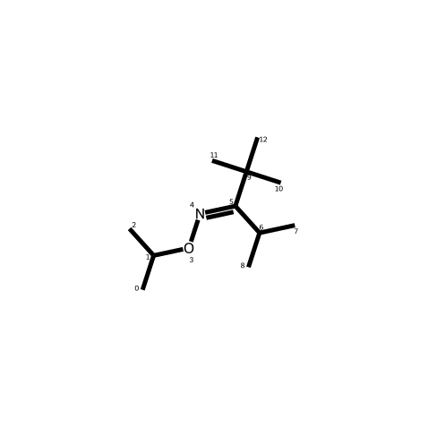 CC(C)O/N=C(\C(C)C)C(C)(C)C